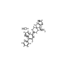 Cc1nc(N2CCC3(CC2)Cc2ncsc2[C@H]3N)c2ccnn2c1-c1ccccc1.Cl